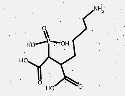 NCCCCC(C(=O)O)C(C(=O)O)P(=O)(O)O